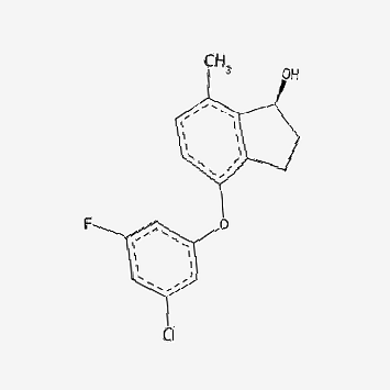 Cc1ccc(Oc2cc(F)cc(Cl)c2)c2c1[C@@H](O)CC2